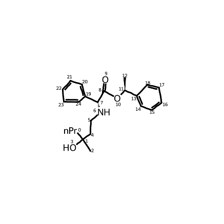 CCCC(C)(O)CCN[C@@H](C(=O)O[C@@H](C)c1ccccc1)c1ccccc1